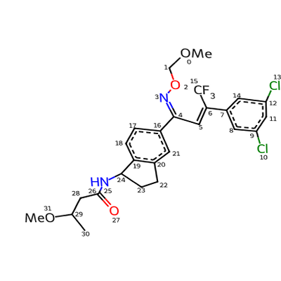 COCON=C(/C=C(/c1cc(Cl)cc(Cl)c1)C(F)(F)F)c1ccc2c(c1)CCC2NC(=O)CC(C)OC